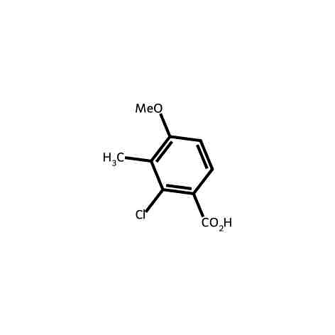 COc1ccc(C(=O)O)c(Cl)c1C